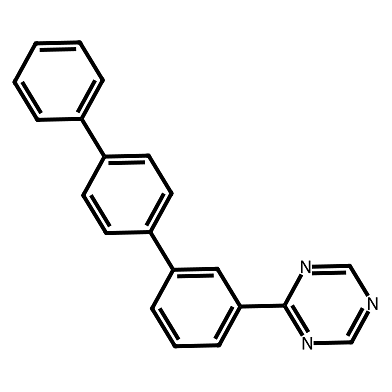 c1ccc(-c2ccc(-c3cccc(-c4ncncn4)c3)cc2)cc1